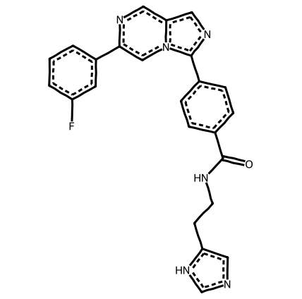 O=C(NCCc1cnc[nH]1)c1ccc(-c2ncc3cnc(-c4cccc(F)c4)cn23)cc1